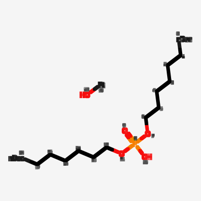 CCCCCCCCCCCCCCCCOP(=O)(O)OCCCCCCCCCCCCCCCC.CCO